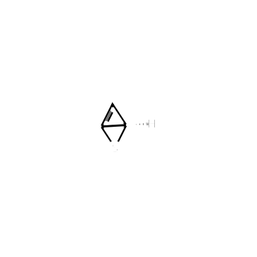 C1=C2S[C@H]12